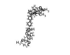 COCC[C@H](NC(=O)OC)C(=O)N1CCC[C@H]1c1ncc(-c2ccc(-c3ccc(-c4cnc([C@@H]5CCCN5C(=O)[C@@](C)(OC(N)=O)C(C)C)[nH]4)cc3)cc2)[nH]1